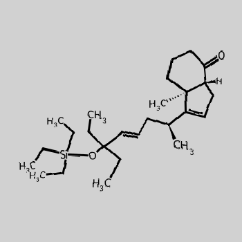 CCC(/C=C/C[C@H](C)C1=CC[C@H]2C(=O)CCC[C@]12C)(CC)O[Si](CC)(CC)CC